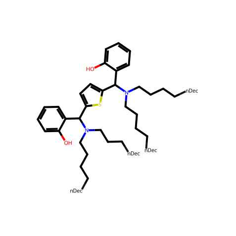 CCCCCCCCCCCCCCN(CCCCCCCCCCCCC)C(c1ccc(C(c2ccccc2O)N(CCCCCCCCCCCCCC)CCCCCCCCCCCCCC)s1)c1ccccc1O